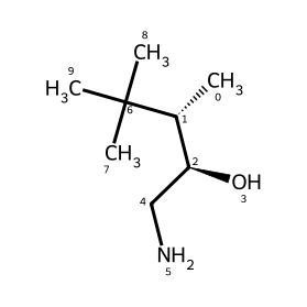 C[C@H]([C@@H](O)CN)C(C)(C)C